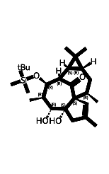 CC1=C[C@]23C(=O)[C@@H]([C@H](O[Si](C)(C)C(C)(C)C)[C@H](C)[C@@H](O)[C@]2(O)C1)[C@@H]1[C@@H](C[C@H]3C)C1(C)C